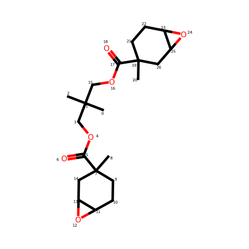 CC(C)(COC(=O)C1(C)CCC2OC2C1)COC(=O)C1(C)CCC2OC2C1